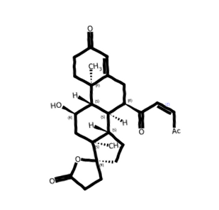 CC(=O)/C=C\C(=O)[C@@H]1CC2=CC(=O)CC[C@]2(C)[C@@H]2[C@@H]1[C@@H]1CC[C@@]3(CCC(=O)O3)[C@@]1(C)C[C@H]2O